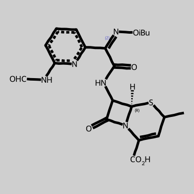 CC(C)CO/N=C(\C(=O)NC1C(=O)N2C(C(=O)O)=CC(C)S[C@H]12)c1cccc(NC=O)n1